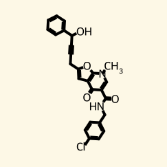 Cn1cc(C(=O)NCc2ccc(Cl)cc2)c(=O)c2cc(CC#CC(O)c3ccccc3)oc21